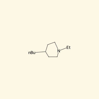 CCCCC1CCN(CC)CC1